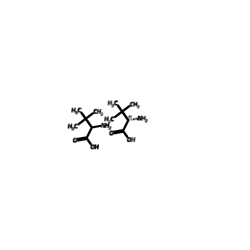 CC(C)(C)C(N)C(=O)O.CC(C)(C)[C@H](N)C(=O)O